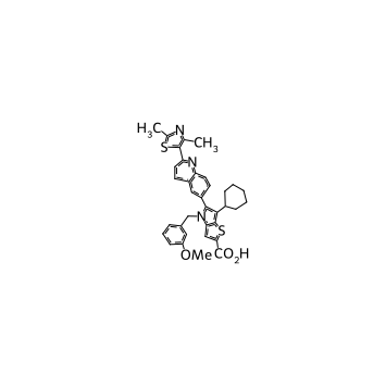 COc1cccc(Cn2c(-c3ccc4nc(-c5sc(C)nc5C)ccc4c3)c(C3CCCCC3)c3sc(C(=O)O)cc32)c1